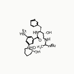 CCCCC(C)NC[C@@H](O)[C@H](Cc1ccccc1)NC(=O)c1cc(NCC)cc(N2CCCCS2(O)O)c1